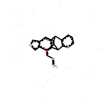 C=N/C=N\C1=C(C)C2c3cc4cocc4cc3C1c1ncccc12